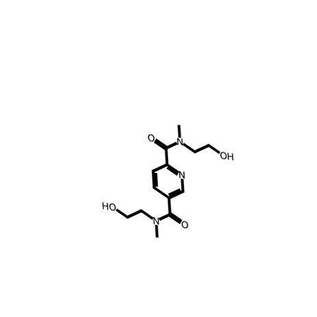 CN(CCO)C(=O)c1ccc(C(=O)N(C)CCO)nc1